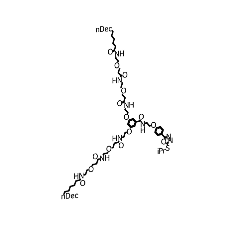 CCCCCCCCCCCCCCCC(=O)NCCOCCC(=O)NCCOCCC(=O)NCCOc1cc(OCCNC(=O)CCOCCNC(=O)CCOCCNC(=O)CCCCCCCCCCCCCCC)cc(C(=O)NCCOc2ccc(-c3nnc(SC(C)C)o3)cc2)c1